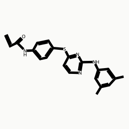 C=CC(=O)Nc1ccc(Sc2ccnc(Nc3cc(C)cc(C)c3)n2)cc1